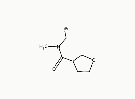 CC(C)CN(C)C(=O)C1CCOC1